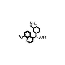 COc1cccc2c([C@@H](CO)N3CCCC(CN)C3)ccnc12